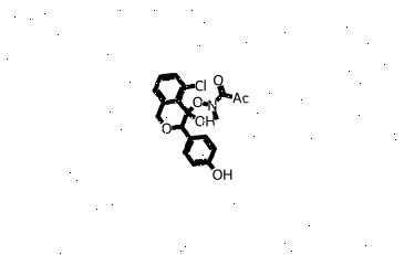 CC(=O)C(=O)N(C)OC1(O)c2c(Cl)cccc2COC1c1ccc(O)cc1